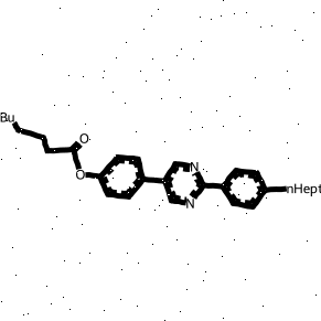 CCCCCCCc1ccc(-c2ncc(-c3ccc(OC(=O)CCCC(C)CC)cc3)cn2)cc1